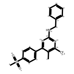 Cc1c(-c2ccc(S(C)(=O)=O)cc2)nc(NCc2ccccc2)nc1C(F)(F)F